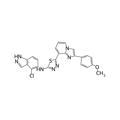 COc1ccc(-c2cn3cccc(-c4nnc(Nc5ccc6[nH]ncc6c5Cl)s4)c3n2)cc1